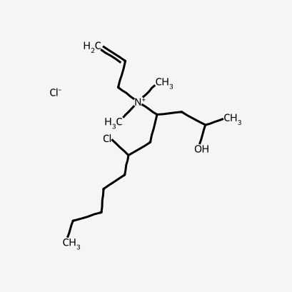 C=CC[N+](C)(C)C(CC(C)O)CC(Cl)CCCCC.[Cl-]